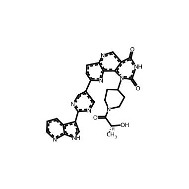 C[C@@H](O)C(=O)N1CCC(n2c(=O)[nH]c(=O)c3cnc4ccc(-c5cnc(-c6c[nH]c7ncccc67)nc5)nc4c32)CC1